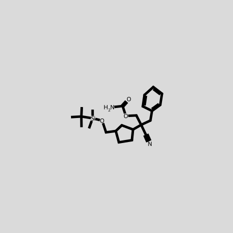 CC(C)(C)[Si](C)(C)OCC1CCC(C(C#N)(COC(N)=O)Cc2ccccc2)C1